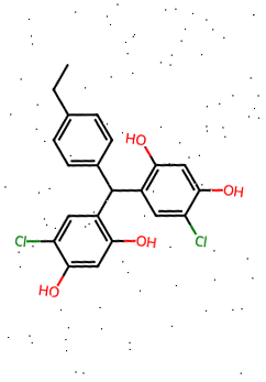 CCc1ccc(C(c2cc(Cl)c(O)cc2O)c2cc(Cl)c(O)cc2O)cc1